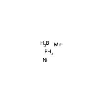 B.P.[Mn].[Ni]